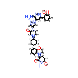 C[C@@]1(N2CCOc3c2cccc3[C@H]2CC[C@H](N3CCN(c4cnn(-c5cc(-c6ccccc6O)nnc5N)c4)C(=O)C3)CC2)CCC(=O)NC1=O